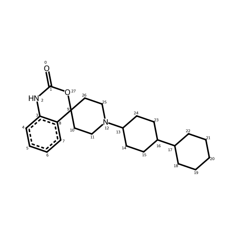 O=C1Nc2ccccc2C2(CCN(C3CCC(C4CCCCC4)CC3)CC2)O1